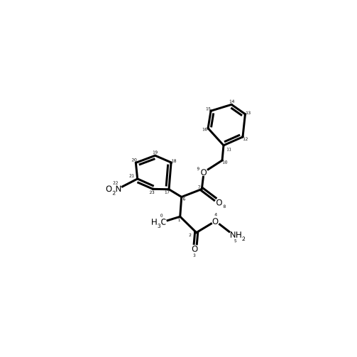 CC(C(=O)ON)C(C(=O)OCc1ccccc1)c1cccc([N+](=O)[O-])c1